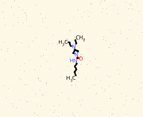 CCCCCCNC(=O)N1CC(N(CCC)CCC)C1